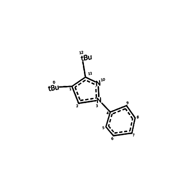 CC(C)(C)c1cn(-c2ccccc2)nc1C(C)(C)C